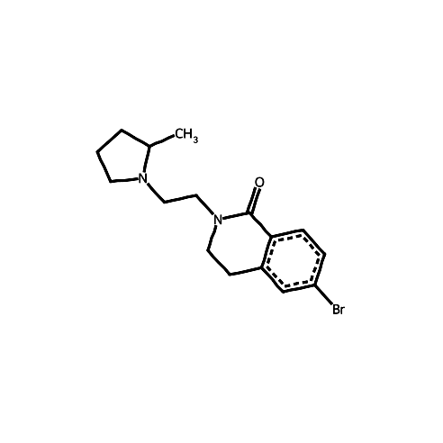 CC1CCCN1CCN1CCc2cc(Br)ccc2C1=O